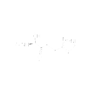 CC(=O)N[C@@H](C)C(=O)CCc1cc[nH]n1